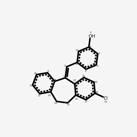 Oc1cccc(C=C2c3ccccc3CCc3cc(Cl)ccc32)c1